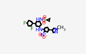 Cn1cc(-c2ccc(Nc3cc(NS(=O)(=O)C4CC4)cc(-c4ccc(F)cc4F)c3)c([N+](=O)[O-])c2)cn1